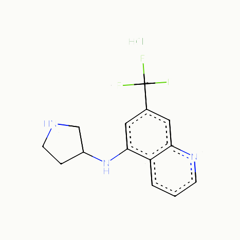 Cl.FC(F)(F)c1cc(NC2CCNC2)c2cccnc2c1